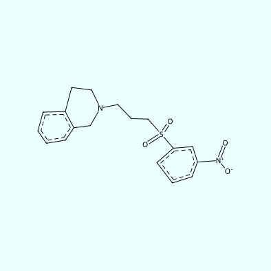 O=[N+]([O-])c1cccc(S(=O)(=O)CCCN2CCc3ccccc3C2)c1